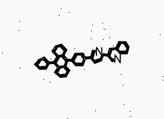 c1ccc(-c2c3ccccc3c(-c3ccc(-c4ccc(-c5cnc6ccccc6c5)nc4)cc3)c3ccccc23)cc1